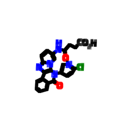 O=C(O)CCC(=O)Nc1ccc2nc3c4ccccc4c(=O)n(-c4ccc(Cl)nc4)c3n2c1